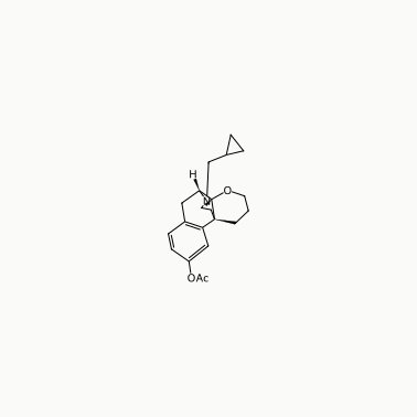 CC(=O)Oc1ccc2c(c1)[C@@]13CCCO[C@@]1(C)[C@@H](C2)N(CC1CC1)CC3